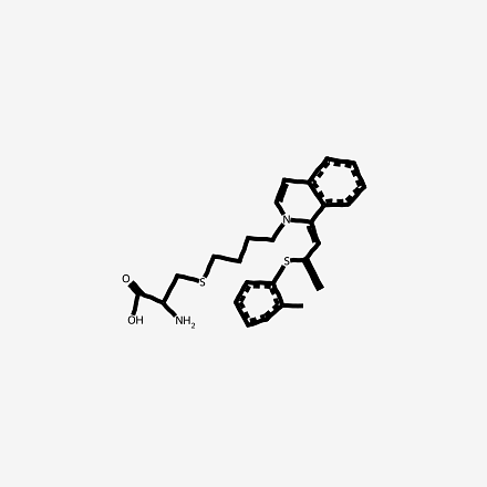 C=C(C=C1c2ccccc2C=CN1CCCCSCC(N)C(=O)O)Sc1ccccc1C